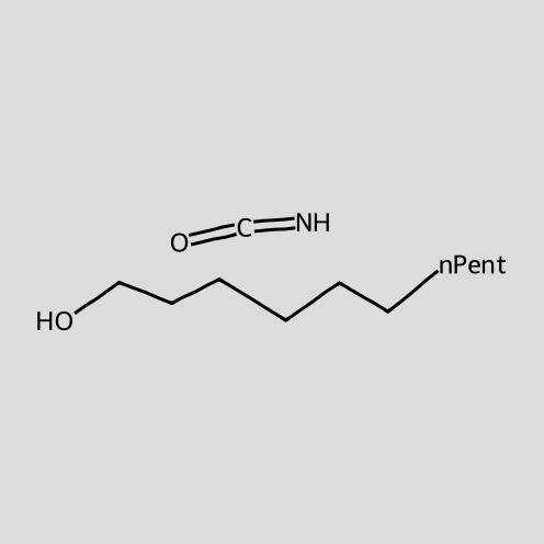 CCCCCCCCCCCO.N=C=O